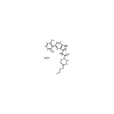 CCCCN1CCC(C(=O)Nc2n[nH]c3ccc(-c4c(F)cccc4Cl)cc23)CC1.Cl